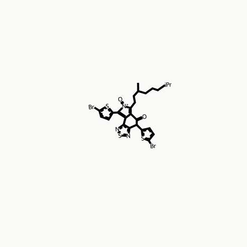 CC(C)CCCC(C)CCC1=C2C(=O)C(c3ccc(Br)s3)c3nsnc3C2=C(c2ccc(Br)s2)[N+]1=O